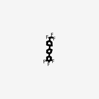 FC(F)=C(F)c1ccc(-c2ccc(-c3cc(F)c(F)c(F)c3)cc2)cc1